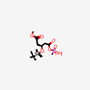 COC(=O)CC(CC(=O)OP(C)(=O)O)O[Si](C)(C)C(C)(C)C